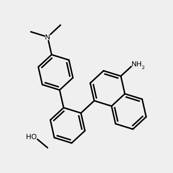 CN(C)c1ccc(-c2ccccc2-c2ccc(N)c3ccccc23)cc1.CO